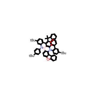 CC(C)(C)c1ccc(N2B3c4ccc5oc6ccccc6c5c4N(c4ccc(C(C)(C)C)cc4-c4ccccc4)c4cc5c(c(c43)-c3ccc(C(C)(C)C)cc32)C(C)(C)c2ccccc2-5)cc1